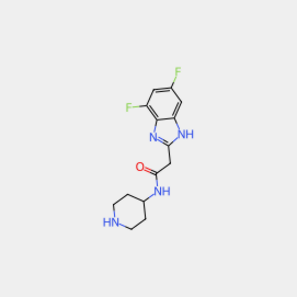 O=C(Cc1nc2c(F)cc(F)cc2[nH]1)NC1CCNCC1